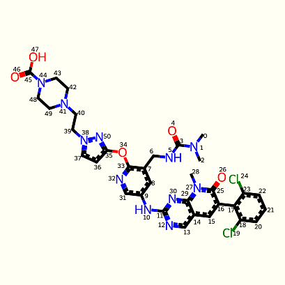 CN(C)C(=O)NCc1cc(Nc2ncc3cc(-c4c(Cl)cccc4Cl)c(=O)n(C)c3n2)cnc1Oc1ccn(CCN2CCN(C(=O)O)CC2)n1